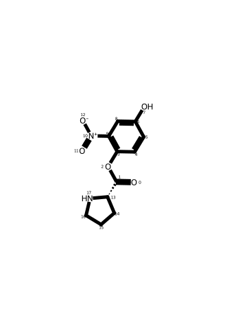 O=C(Oc1ccc(O)cc1[N+](=O)[O-])[C@@H]1CCCN1